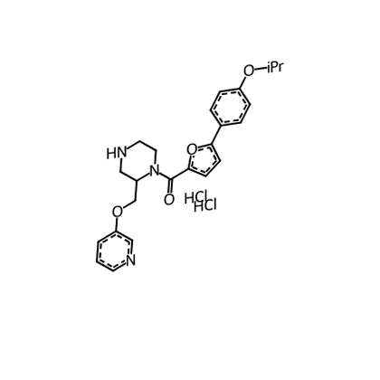 CC(C)Oc1ccc(-c2ccc(C(=O)N3CCNCC3COc3cccnc3)o2)cc1.Cl.Cl